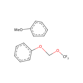 COc1ccccc1.FC(F)(F)OCOc1ccccc1